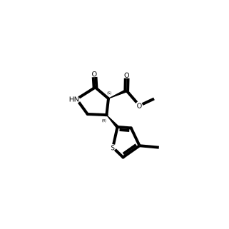 COC(=O)[C@@H]1C(=O)NC[C@@H]1c1cc(C)cs1